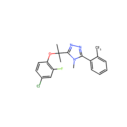 Cn1c(-c2ccccc2C(F)(F)F)nnc1C(C)(C)Oc1ccc(Cl)cc1F